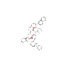 c1ccc(-c2ccccc2N(c2ccc(-c3cccc4c3oc3ccccc34)cc2)c2ccccc2-c2ccc3sc4ccccc4c3c2)c(-c2ccc3ccccc3c2)c1